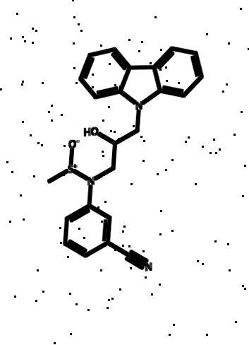 C[S+]([O-])N(CC(O)Cn1c2ccccc2c2ccccc21)c1cccc(C#N)c1